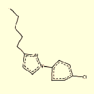 [CH2]CCCCc1ccn(-c2ccc(Cl)cc2)n1